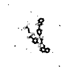 O=C(O)CCNC(=O)c1ccc(N[C@@H](Cc2cccc3ccccc23)C(=O)Nc2ccc(-c3cc4ccccc4o3)cc2)cc1